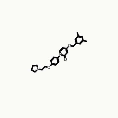 Cc1cc(C)cc(COc2ccn(-c3ccc(OCCN4CCCC4)cc3)c(=O)c2)c1